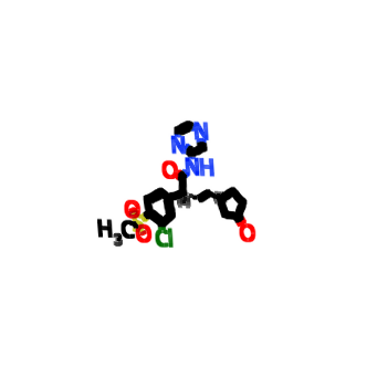 CS(=O)(=O)c1ccc([C@@H](CC[C@H]2CCC(=O)C2)C(=O)Nc2cnccn2)cc1Cl